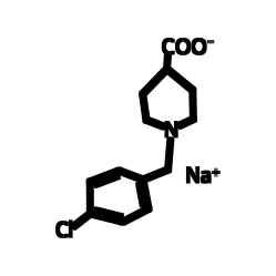 O=C([O-])C1CCN(Cc2ccc(Cl)cc2)CC1.[Na+]